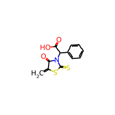 C=C1SC(=S)N(C(C(=O)O)c2ccccc2)C1=O